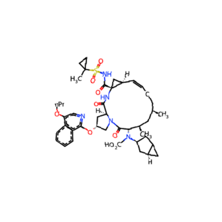 CCCOc1cnc(O[C@@H]2C[C@H]3C(=O)N[C@]4(C(=O)NS(=O)(=O)C5(C)CC5)C[C@H]4/C=C\CC[C@@H](C)C[C@@H](C)[C@H](N(C(=O)O)[C@H]4CC5C[C@H]5C4)C(=O)N3C2)c2ccccc12